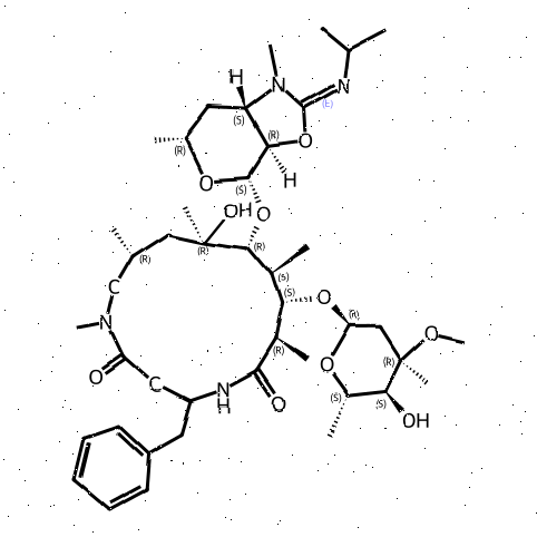 CO[C@]1(C)C[C@H](O[C@H]2[C@H](C)[C@@H](O[C@@H]3O[C@H](C)C[C@H]4[C@H]3O/C(=N/C(C)C)N4C)[C@](C)(O)C[C@@H](C)CN(C)C(=O)CC(Cc3ccccc3)NC(=O)[C@@H]2C)O[C@@H](C)[C@@H]1O